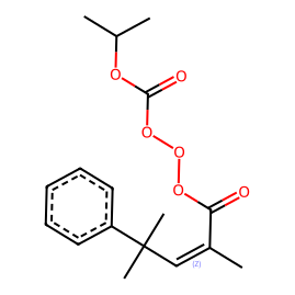 C/C(=C/C(C)(C)c1ccccc1)C(=O)OOOC(=O)OC(C)C